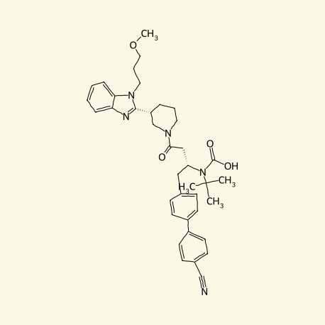 COCCCn1c([C@@H]2CCCN(C(=O)C[C@@H](Cc3ccc(-c4ccc(C#N)cc4)cc3)N(C(=O)O)C(C)(C)C)C2)nc2ccccc21